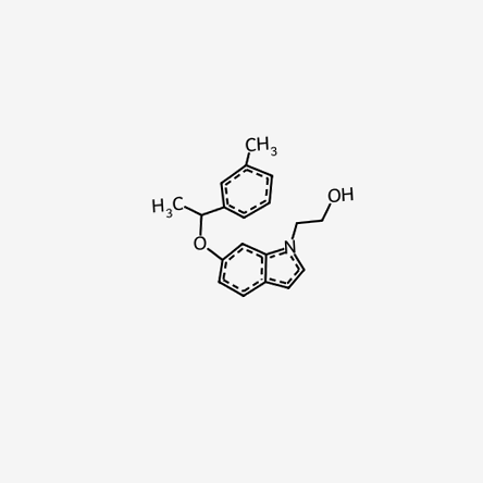 Cc1cccc(C(C)Oc2ccc3ccn(CCO)c3c2)c1